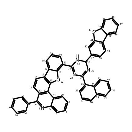 c1ccc(-c2nc3ccccc3c3c2ccc2c4cccc(C5=NC(c6cccc7ccccc67)=NC(c6ccc7c(c6)sc6ccccc67)N5)c4oc23)cc1